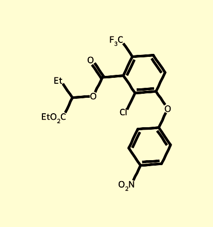 CCOC(=O)C(CC)OC(=O)c1c(C(F)(F)F)ccc(Oc2ccc([N+](=O)[O-])cc2)c1Cl